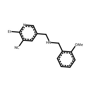 CCc1ncc(CNCc2ccccc2OC)cc1C#N